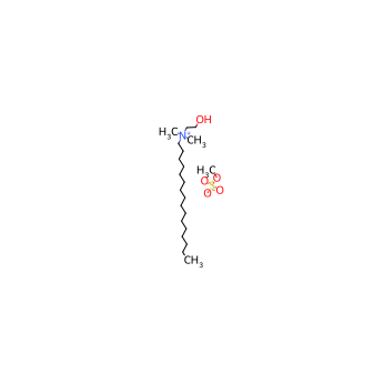 CCCCCCCCCCCCCCCC[N+](C)(C)CCO.COS(=O)(=O)[O-]